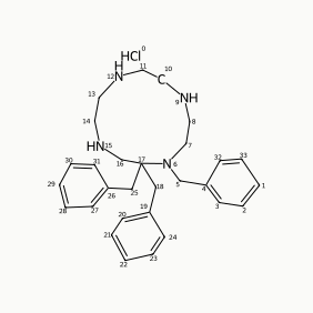 Cl.c1ccc(CN2CCNCCNCCNCC2(Cc2ccccc2)Cc2ccccc2)cc1